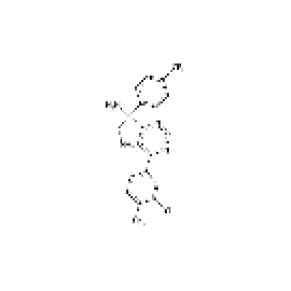 NCC(N)(c1ccc(C(F)(F)F)cc1)c1cc(-c2ccc(C(F)(F)F)c(Cl)c2)ncn1